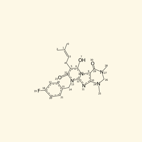 CC(C)=CCc1c(O)n2c3c(nc2n(Cc2ccc(F)cc2)c1=O)N(C)CN(C)C3=O